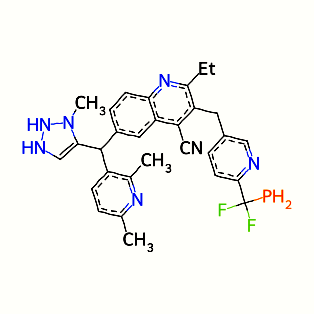 CCc1nc2ccc(C(C3=CNNN3C)c3ccc(C)nc3C)cc2c(C#N)c1Cc1ccc(C(F)(F)P)nc1